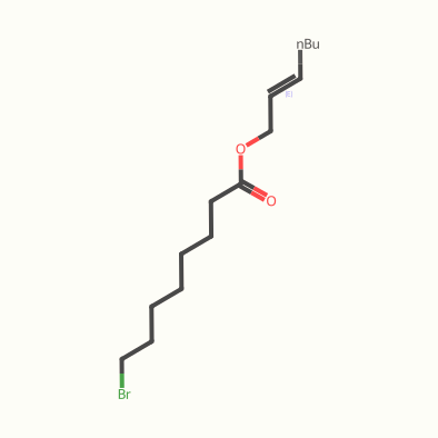 CCCC/C=C/COC(=O)CCCCCCCBr